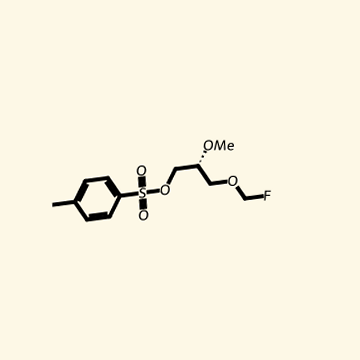 CO[C@H](COCF)COS(=O)(=O)c1ccc(C)cc1